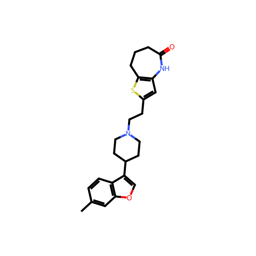 Cc1ccc2c(C3CCN(CCc4cc5c(s4)CCCC(=O)N5)CC3)coc2c1